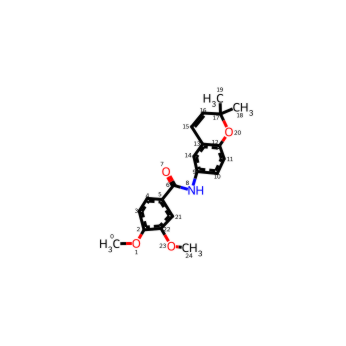 COc1ccc(C(=O)Nc2ccc3c(c2)C=CC(C)(C)O3)cc1OC